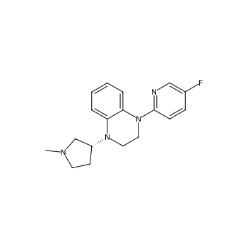 CN1CC[C@@H](N2CCN(c3ccc(F)cn3)c3ccccc32)C1